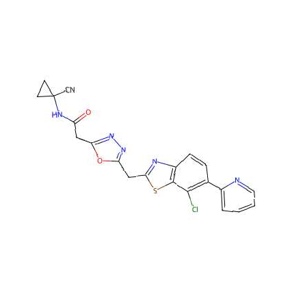 N#CC1(NC(=O)Cc2nnc(Cc3nc4ccc(-c5ccccn5)c(Cl)c4s3)o2)CC1